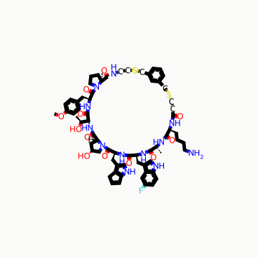 COc1ccc(C[C@@H]2NC(=O)[C@@H]([C@H](C)O)NC(=O)[C@@H]3C[C@H](O)CN3C(=O)[C@H](Cc3c[nH]c4c3CC=C4)NC(=O)[C@H](Cc3c[nH]c4ccc(F)cc34)NC(=O)[C@@H](C)NC(=O)[C@H](CCCCN)NC(=O)CCSCc3cccc(c3)CSCCNC(=O)[C@]3(C)CCCN3C2=O)cc1